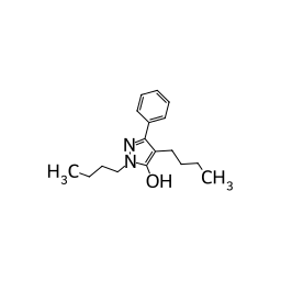 CCCCc1c(-c2ccccc2)nn(CCCC)c1O